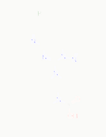 Cc1cc2c3cc(Br)cnc3nc(N3CC(N(C)C(=O)O)C3)n2n1